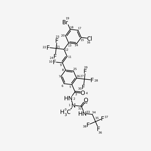 CN(NC(=O)c1ccc(C(F)=CC(c2cc(Cl)cc(Br)c2)C(F)(F)F)cc1C(F)(F)F)C(=O)NCC(F)(F)F